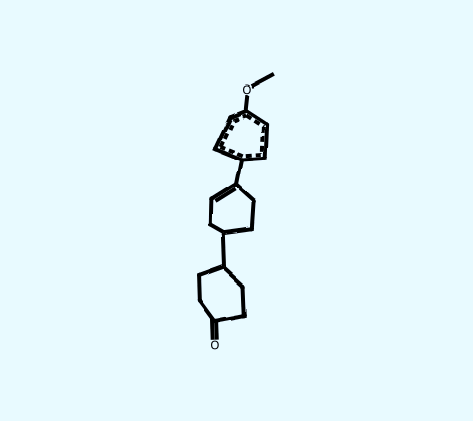 COc1ccc(C2=CCC(C3CCC(=O)CC3)CC2)cc1